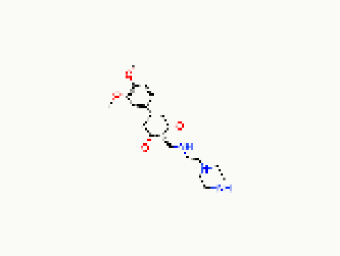 COc1ccc(C2CC(=O)C(=CNCCN3CCNCC3)C(=O)C2)cc1OC